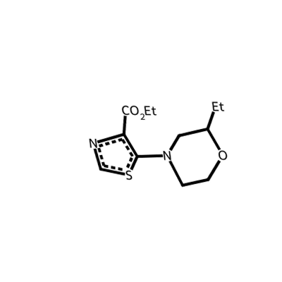 CCOC(=O)c1ncsc1N1CCOC(CC)C1